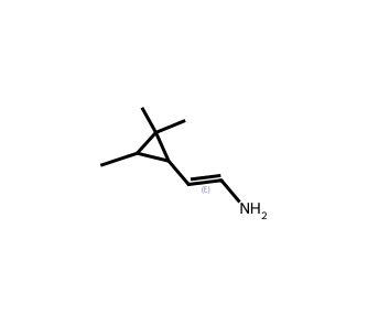 CC1C(/C=C/N)C1(C)C